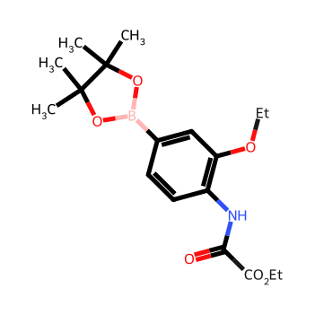 CCOC(=O)C(=O)Nc1ccc(B2OC(C)(C)C(C)(C)O2)cc1OCC